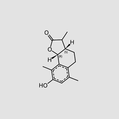 Cc1cc(O)c(C)c2c1CC[C@H]1C(C)C(=O)O[C@@H]21